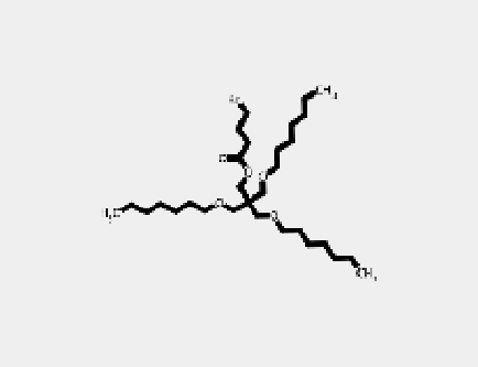 CCCCCCCOCC(COCCCCCCC)(COCCCCCCC)COC(=O)CCCBr